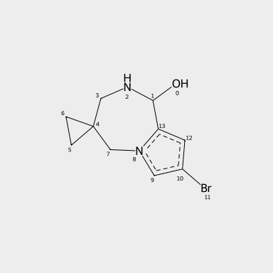 OC1NCC2(CC2)Cn2cc(Br)cc21